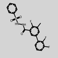 Cc1cc(-c2cccc(F)c2F)cc(C(=O)NNS(=O)(=O)c2ccccc2)c1F